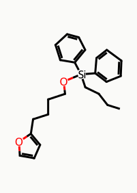 CCCC[Si](OCCCCc1ccco1)(c1ccccc1)c1ccccc1